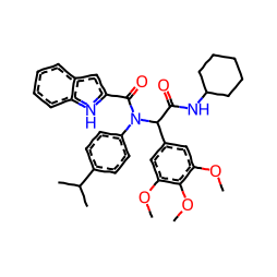 COc1cc(C(C(=O)NC2CCCCC2)N(C(=O)c2cc3ccccc3[nH]2)c2ccc(C(C)C)cc2)cc(OC)c1OC